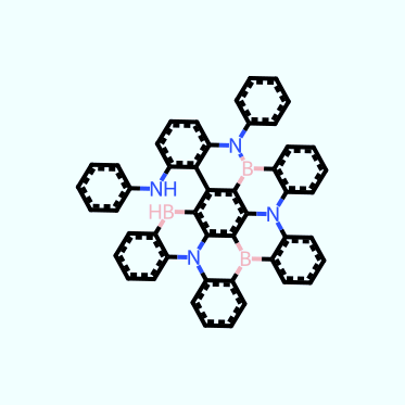 B1c2ccccc2N2c3ccccc3B3c4ccccc4N4c5ccccc5B5c6c(c1c2c3c64)-c1c(Nc2ccccc2)cccc1N5c1ccccc1